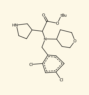 CC(C)(C)OC(=O)C(C1CCNC1)N(Cc1ccc(Cl)cc1Cl)C1CCOCC1